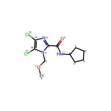 CCOCn1c(C(=O)NC2CCCC2)nc(Cl)c1Cl